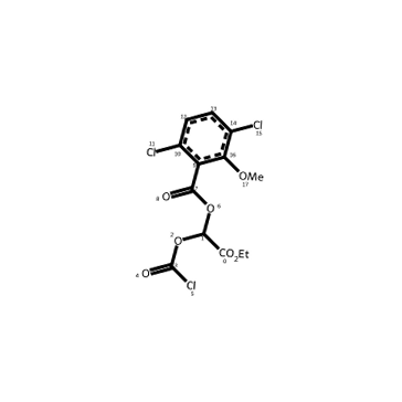 CCOC(=O)C(OC(=O)Cl)OC(=O)c1c(Cl)ccc(Cl)c1OC